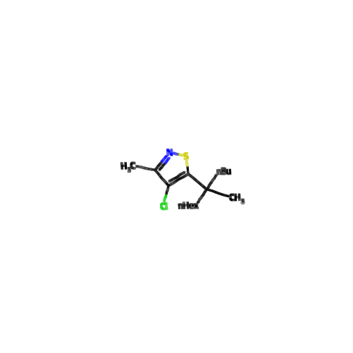 CCCCCCC(C)(CCCC)c1snc(C)c1Cl